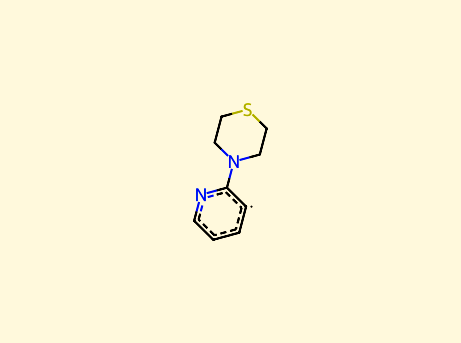 [c]1cccnc1N1CCSCC1